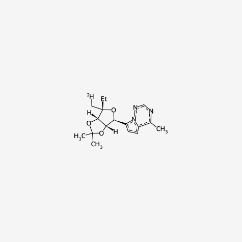 [2H]C[C@]1(CC)O[C@@H](c2ccc3c(C)ncnn23)[C@@H]2OC(C)(C)O[C@@H]21